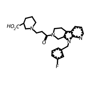 O=C(O)C1CCCN(CCC(=O)N2CCc3c(n(Cc4cccc(F)c4)c4ncccc34)C2)C1